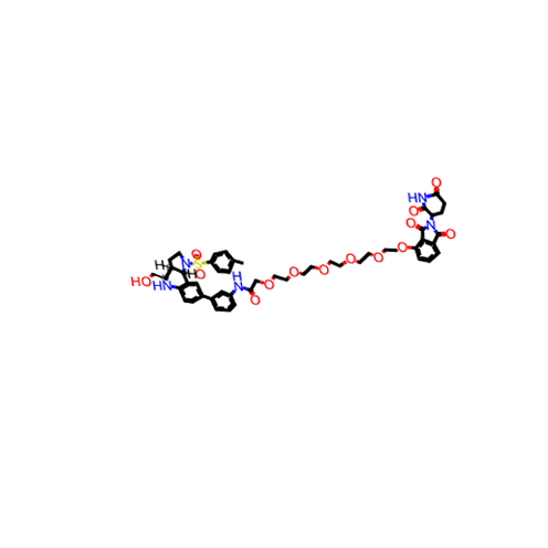 Cc1ccc(S(=O)(=O)N2CC[C@@H]3[C@H](CO)Nc4ccc(-c5cccc(NC(=O)COCCOCCOCCOCCOCCOc6cccc7c6C(=O)N(C6CCC(=O)NC6=O)C7=O)c5)cc4[C@@H]32)cc1